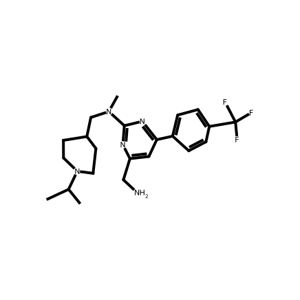 CC(C)N1CCC(CN(C)c2nc(CN)cc(-c3ccc(C(F)(F)F)cc3)n2)CC1